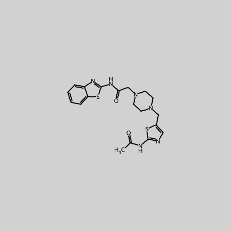 CC(=O)Nc1ncc(CN2CCN(CC(=O)Nc3nc4ccccc4s3)CC2)s1